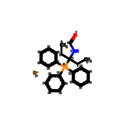 CCC(CC)(NC=O)[P+](c1ccccc1)(c1ccccc1)c1ccccc1.[Br-]